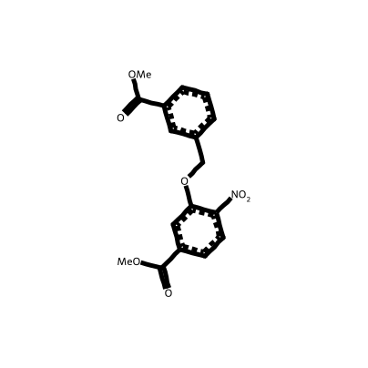 COC(=O)c1cccc(COc2cc(C(=O)OC)ccc2[N+](=O)[O-])c1